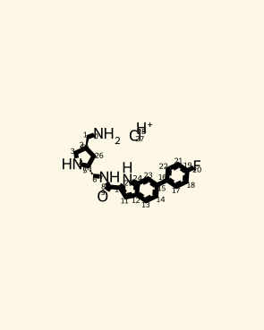 NC[C@@H]1CN[C@@H](CNC(=O)c2cc3ccc(-c4ccc(F)cc4)cc3[nH]2)C1.[Cl-].[H+]